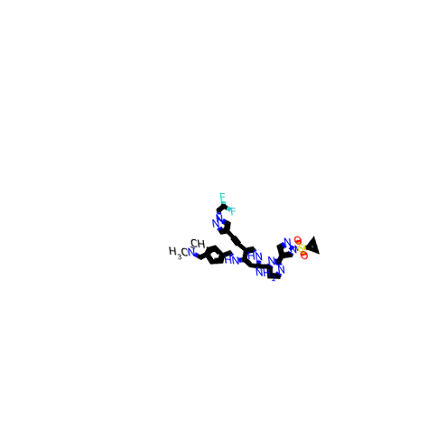 CN(C)Cc1ccc(CNC2=CC(N)(c3ccnc(-c4cnn(S(=O)(=O)C5CC5)c4)n3)NC=C2C#Cc2cnn(CC(F)F)c2)cc1